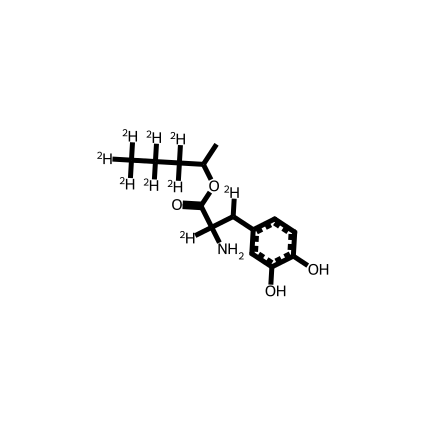 [2H]C(c1ccc(O)c(O)c1)C([2H])(N)C(=O)OC(C)C([2H])([2H])C([2H])([2H])C([2H])([2H])[2H]